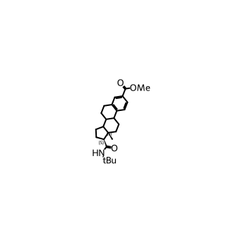 COC(=O)c1ccc2c(c1)CCC1C2CC[C@@]2(C)C1CC[C@@H]2C(=O)NC(C)(C)C